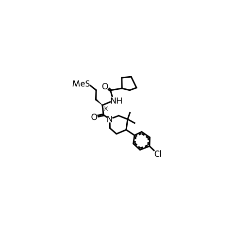 CSCC[C@@H](NC(=O)C1CCCC1)C(=O)N1CCC(c2ccc(Cl)cc2)C(C)(C)C1